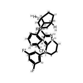 Fc1cc(F)cc(N2CCCn3nc(NC4[C@@H]5CC[C@@H]4CN(c4ccnc(C(F)(F)F)c4)C5)nc32)c1